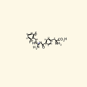 N/C(=N\C(=O)c1ccc(C[C@H](N)C(=O)O)cc1)NCc1c(F)cccc1F